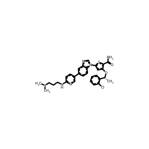 C[C@@H](Oc1cc(-n2cnc3cc(-c4ccc(NCCCN(C)C)nc4)ccc32)sc1C(N)=O)c1ccccc1Cl